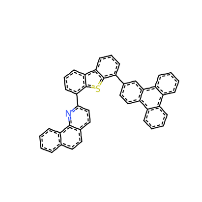 c1ccc2c(c1)ccc1ccc(-c3cccc4c3sc3c(-c5ccc6c7ccccc7c7ccccc7c6c5)cccc34)nc12